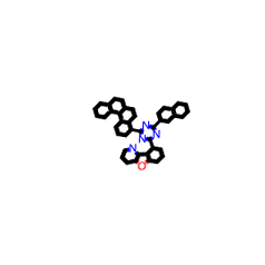 c1ccc2cc(-c3nc(-c4cccc5c4ccc4ccc6ccccc6c45)nc(-c4cccc5oc6cccnc6c45)n3)ccc2c1